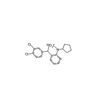 CC(c1ccc(Cl)c(Cl)c1)c1cccnc1N(C(=O)O)C1CCCC1